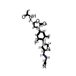 CC(=O)NC[C@H]1CN(c2cc(F)c(-n3cnc(/C=C/C#N)c3)c(F)c2)C(=O)O1